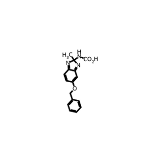 CC1(NC(=O)O)N=c2ccc(OCc3ccccc3)cc2=N1